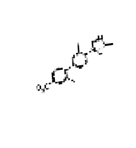 Cc1cc(C(=O)O)ccc1-c1ccc(N2C=NC(C)O2)c(C)c1